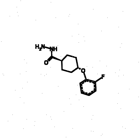 NNC(=O)[C@H]1CC[C@H](Oc2ccccc2F)CC1